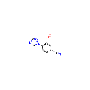 N#Cc1ccc(-n2cncn2)c(C=O)c1